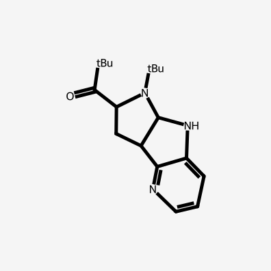 CC(C)(C)C(=O)C1CC2c3ncccc3NC2N1C(C)(C)C